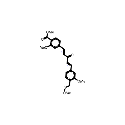 COOCc1ccc(/C=C/C(=O)/C=C/c2ccc(C(=O)OC)c(OC)c2)cc1OC